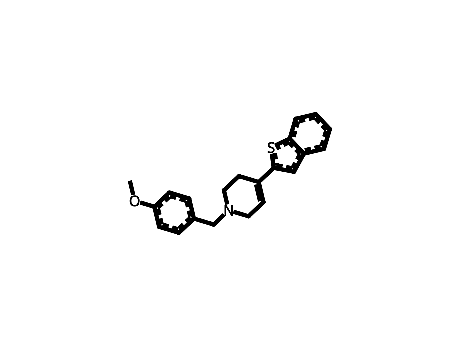 COc1ccc(CN2CC=C(c3cc4ccccc4s3)CC2)cc1